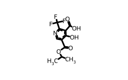 CC(C)OC(=O)c1cnc(C(F)(F)F)c(C(=O)O)c1O